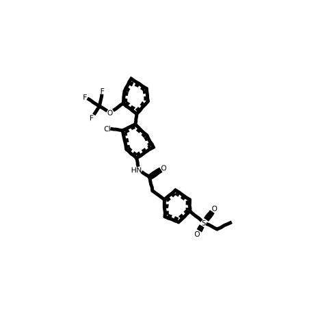 CCS(=O)(=O)c1ccc(CC(=O)Nc2ccc(-c3ccccc3OC(F)(F)F)c(Cl)c2)cc1